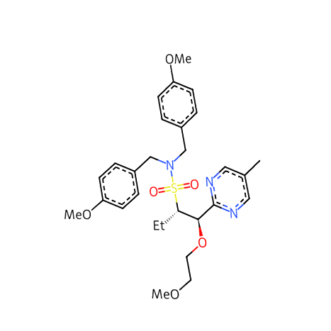 CC[C@@H]([C@H](OCCOC)c1ncc(C)cn1)S(=O)(=O)N(Cc1ccc(OC)cc1)Cc1ccc(OC)cc1